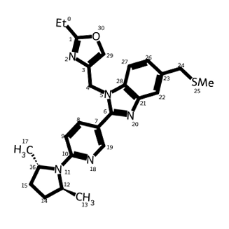 CCc1nc(Cn2c(-c3ccc(N4[C@@H](C)CC[C@@H]4C)nc3)nc3cc(CSC)ccc32)co1